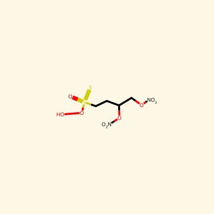 O=[N+]([O-])OCC(CCS(=O)(=S)OO)O[N+](=O)[O-]